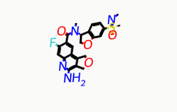 CN=[S@](C)(=O)c1ccc2c(c1)OC[C@H]2N(C)C(=O)c1cc2c3c(c(N)nc2cc1F)COC3